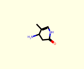 CC1=CNC(=O)CC1N